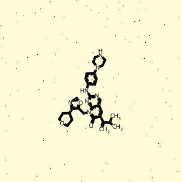 C=C(c1cc2cnc(Nc3ccc(N4CCNCC4)cc3)nc2n(Cc2ocnc2C2CCOCC2)c1=O)C(C)C